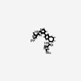 Cc1nn(C(C)C)cc1-c1nc2c(C3=CCC4C(=C3)CCCC[C@@H]4NC(=O)c3nc(C(C)(C)C)no3)ccnc2[nH]1